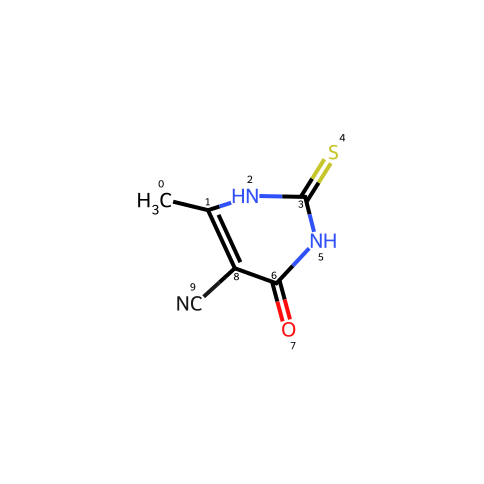 Cc1[nH]c(=S)[nH]c(=O)c1C#N